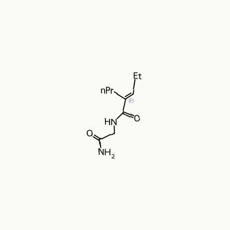 CC/C=C(\CCC)C(=O)NCC(N)=O